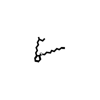 C=CCCCCCCCOc1c[c]ccc1CCCCCC(C)CC